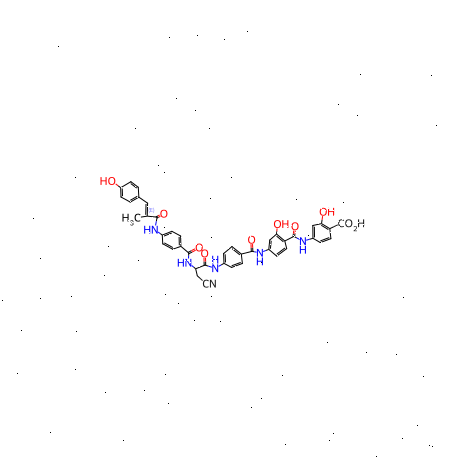 C/C(=C\c1ccc(O)cc1)C(=O)Nc1ccc(C(=O)NC(CC#N)C(=O)Nc2ccc(C(=O)Nc3ccc(C(=O)Nc4ccc(C(=O)O)c(O)c4)c(O)c3)cc2)cc1